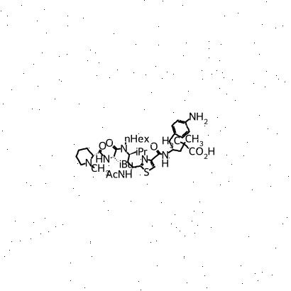 CCCCCCN(C(=O)[C@@H](NC(=O)[C@H]1CCCCN1C)[C@@H](C)CC)[C@H](C[C@@H](NC(C)=O)c1nc(C(=O)N[C@@H](Cc2ccc(N)cc2)CC(C)(C)C(=O)O)cs1)C(C)C